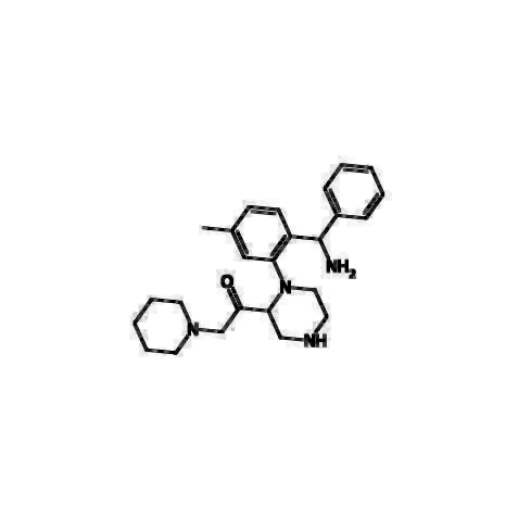 Cc1ccc(C(N)c2ccccc2)c(N2CCNCC2C(=O)CN2CCCCC2)c1